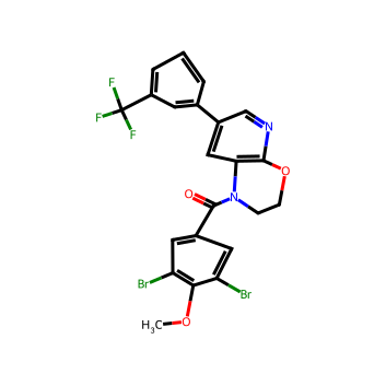 COc1c(Br)cc(C(=O)N2CCOc3ncc(-c4cccc(C(F)(F)F)c4)cc32)cc1Br